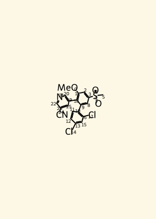 COc1cc(S(C)(=O)=O)cc(-c2ccc(Cl)cc2Cl)c1-c1cncc(C#N)c1